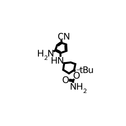 CC(C)(C)[C@]1(OC(N)=O)CC[C@H](Nc2ccc(C#N)cc2N)CC1